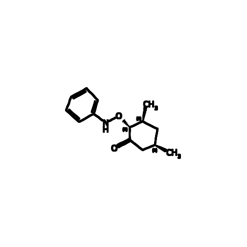 C[C@H]1CC(=O)[C@H](ONc2ccccc2)[C@@H](C)C1